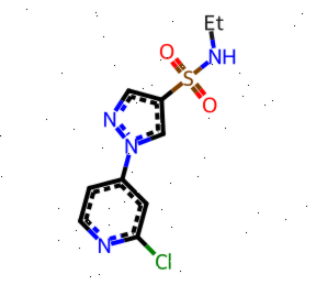 CCNS(=O)(=O)c1cnn(-c2ccnc(Cl)c2)c1